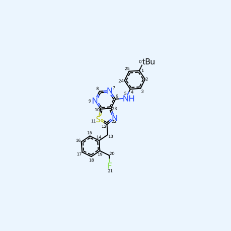 CC(C)(C)c1ccc(Nc2ncnc3sc(Cc4ccccc4CF)nc23)cc1